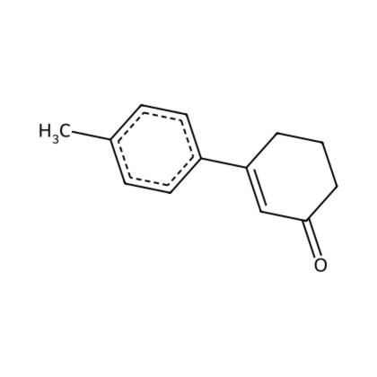 Cc1ccc(C2=CC(=O)CCC2)cc1